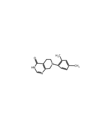 Cc1ccc(N2CCc3c(nc[nH]c3=O)C2)c(C)c1